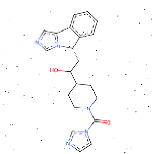 O=C(N1CCC(C(O)C[C@H]2c3ccccc3-c3cncn32)CC1)n1ccnc1